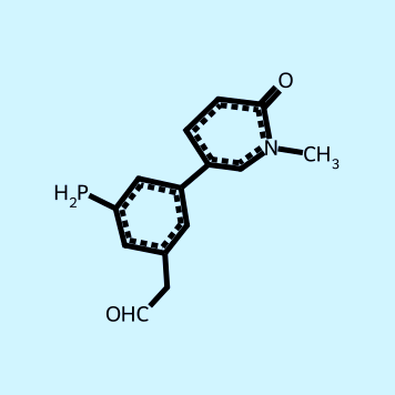 Cn1cc(-c2cc(P)cc(CC=O)c2)ccc1=O